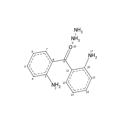 N.N.Nc1ccccc1C(=O)c1ccccc1N